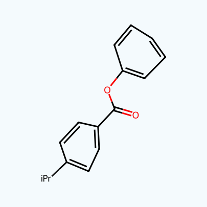 CC(C)c1ccc(C(=O)Oc2ccccc2)cc1